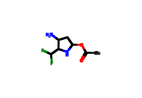 CC(C)(C)C(=O)OC1CC(N)C(C(F)F)N1